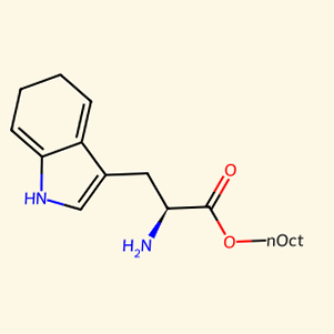 CCCCCCCCOC(=O)[C@@H](N)Cc1c[nH]c2c1=CCCC=2